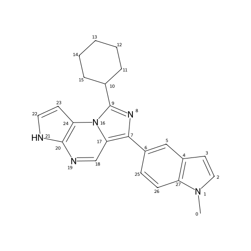 Cn1ccc2cc(-c3nc(C4CCCCC4)n4c3cnc3[nH]ccc34)ccc21